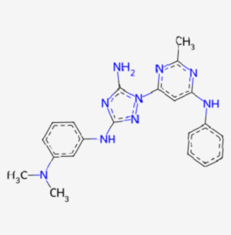 Cc1nc(Nc2ccccc2)cc(-n2nc(Nc3cccc(N(C)C)c3)nc2N)n1